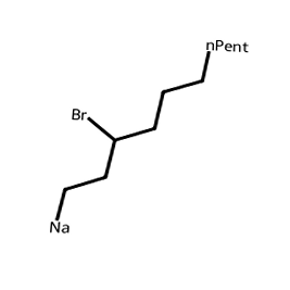 CCCCCCCCC(Br)C[CH2][Na]